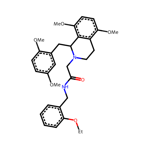 CCOc1ccccc1CNC(=O)CN1CCc2c(OC)ccc(OC)c2C1Cc1cc(OC)ccc1OC